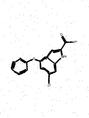 O=C(O)c1cc2c(Oc3ccccc3)cc(Cl)cc2[nH]1